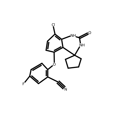 N#Cc1cc(F)ccc1Oc1ccc(Cl)c2c1C1(CCCC1)NC(=O)N2